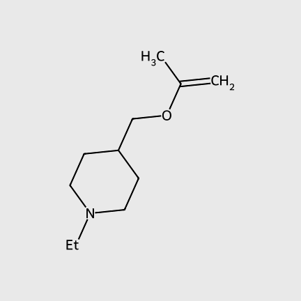 C=C(C)OCC1CCN(CC)CC1